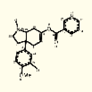 COc1ccc(C23CC=C(OC(=O)c4cccnc4)CC2N(C)CC3)cc1C